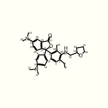 CCc1ccc(C2(c3ccc(N(C)C)cc3)OC(=O)c3cc(N(C)C)ccc32)c(C)c1NCC1CCCO1